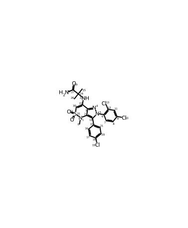 CN1c2c(nn(-c3ccc(Cl)cc3Cl)c2-c2ccc(Cl)cc2)C(NC(C)(C)C(N)=O)=CS1(=O)=O